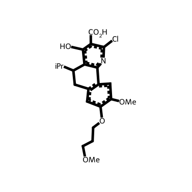 COCCCOc1cc2c(cc1OC)-c1nc(Cl)c(C(=O)O)c(O)c1C(C(C)C)C2